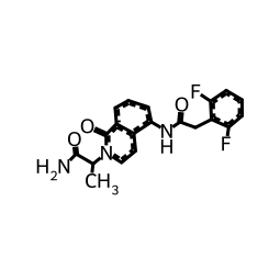 CC(C(N)=O)n1ccc2c(NC(=O)Cc3c(F)cccc3F)cccc2c1=O